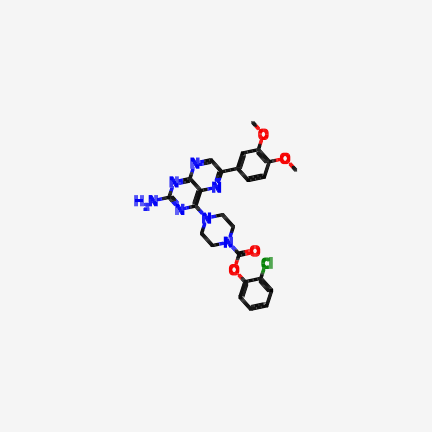 COc1ccc(-c2cnc3nc(N)nc(N4CCN(C(=O)Oc5ccccc5Cl)CC4)c3n2)cc1OC